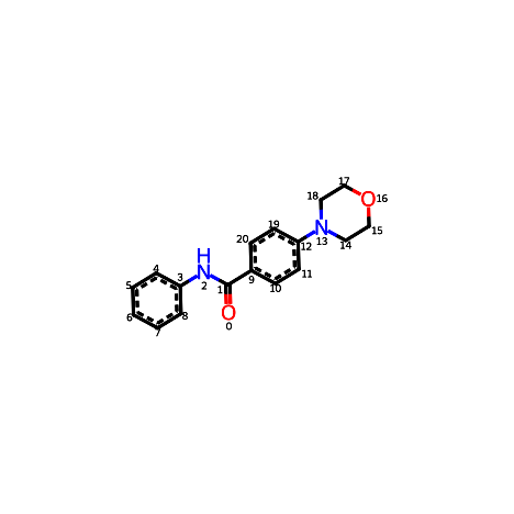 O=C(Nc1ccccc1)c1ccc(N2CCOCC2)cc1